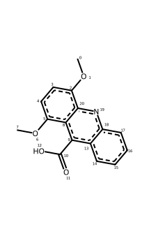 COc1ccc(OC)c2c(C(=O)O)c3ccccc3nc12